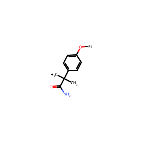 CCOc1ccc(C(C)(C)C(N)=O)cc1